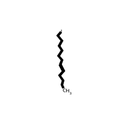 CCCCC=CCCCCCCI